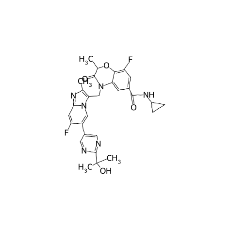 Cc1nc2cc(F)c(-c3cnc(C(C)(C)O)nc3)cn2c1CN1C(=O)C(C)Oc2c(F)cc(C(=O)NC3CC3)cc21